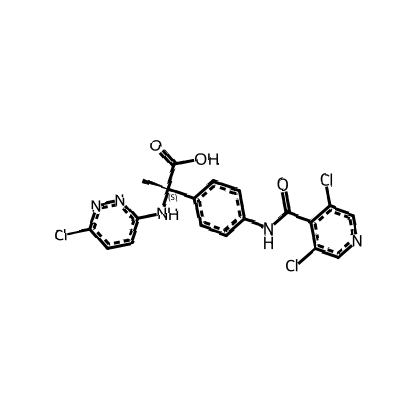 C[C@@](Nc1ccc(Cl)nn1)(C(=O)O)c1ccc(NC(=O)c2c(Cl)cncc2Cl)cc1